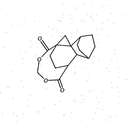 O=C1OCOC(=O)C23CCC1C1C4CCC(CC4)C12C3